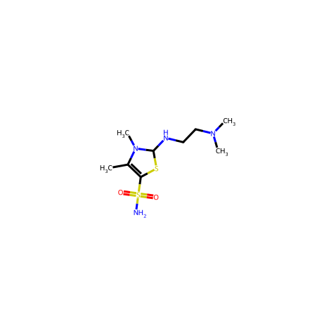 CC1=C(S(N)(=O)=O)SC(NCCN(C)C)N1C